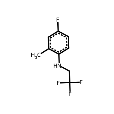 Cc1cc(F)ccc1NCC(F)(F)F